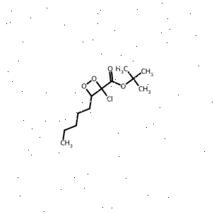 CCCCCC1OOC1(Cl)C(=O)OC(C)(C)C